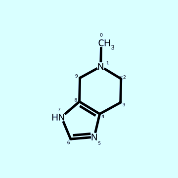 CN1[C]Cc2nc[nH]c2C1